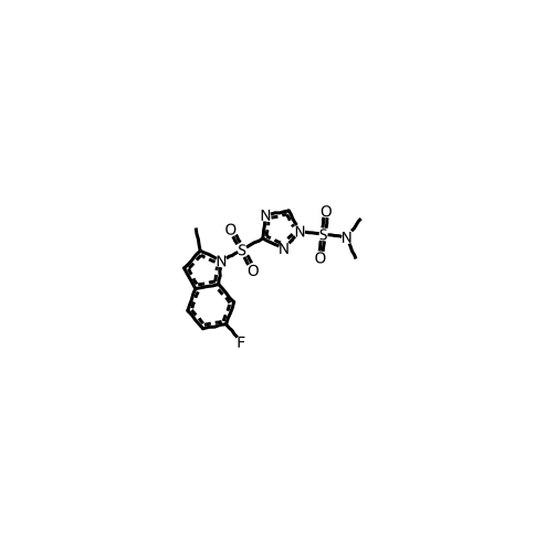 Cc1cc2ccc(F)cc2n1S(=O)(=O)c1ncn(S(=O)(=O)N(C)C)n1